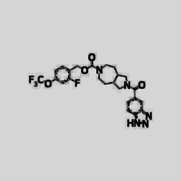 O=C(OCc1ccc(OC(F)(F)F)cc1F)N1CCC2CN(C(=O)c3ccc4[nH]nnc4c3)CC2CC1